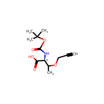 C#CCOC(C)[C@H](NC(=O)OC(C)(C)C)C(=O)O